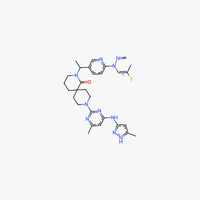 C=NN(/C=C(\C)F)c1ccc(C(C)N2CCCC3(CCN(c4nc(C)cc(Nc5cc(C)[nH]n5)n4)CC3)C2=O)cn1